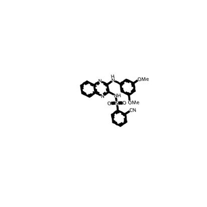 COc1cc(Nc2nc3ccccc3nc2NS(=O)(=O)c2ccccc2C#N)cc(OC)c1